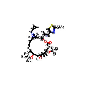 CC[Si](CC)(CC)OC1[C@@H](C)CCC[C@]2(C)[C@H](C[C@@H](/C(C)=C/c3csc(SC)n3)OC(=O)CC(O[Si](CC)(CC)CC)C(C)(C)C(=O)[C@@H]1C)N2CC1CC1